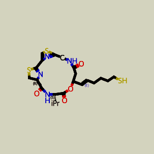 CC(C)[C@@H]1NC(=O)[C@]2(C)CSC(=N2)c2csc(n2)CNC(=O)CC(/C=C/CCCCS)OC1=O